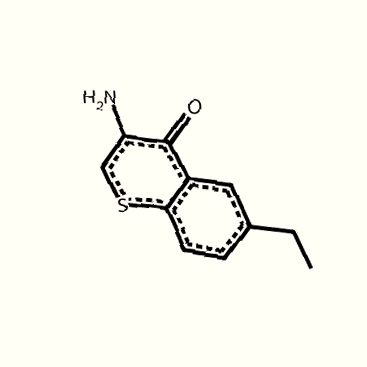 CCc1ccc2scc(N)c(=O)c2c1